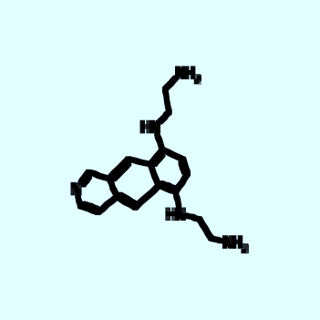 NCCNc1ccc(NCCN)c2cc3cnccc3cc12